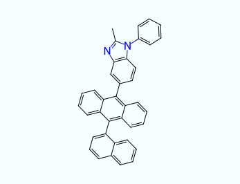 Cc1nc2cc(-c3c4ccccc4c(-c4cccc5ccccc45)c4ccccc34)ccc2n1-c1ccccc1